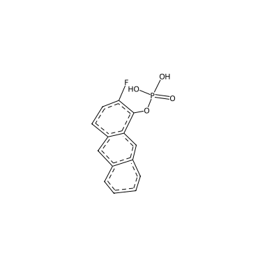 O=P(O)(O)Oc1c(F)ccc2cc3ccccc3cc12